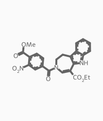 CCOC(=O)C1=CN(C(=O)c2ccc(C(=O)OC)c([N+](=O)[O-])c2)CCc2c1[nH]c1ccccc21